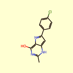 Cc1nc(O)c2nc(-c3ccc(Cl)cc3)cc-2[nH]1